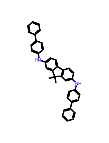 CC1(C)c2cc(Nc3ccc(-c4ccccc4)cc3)ccc2-c2ccc(Nc3ccc(-c4ccccc4)cc3)cc21